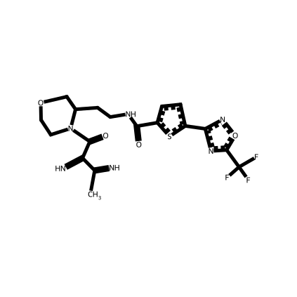 CC(=N)C(=N)C(=O)N1CCOCC1CCNC(=O)c1ccc(-c2noc(C(F)(F)F)n2)s1